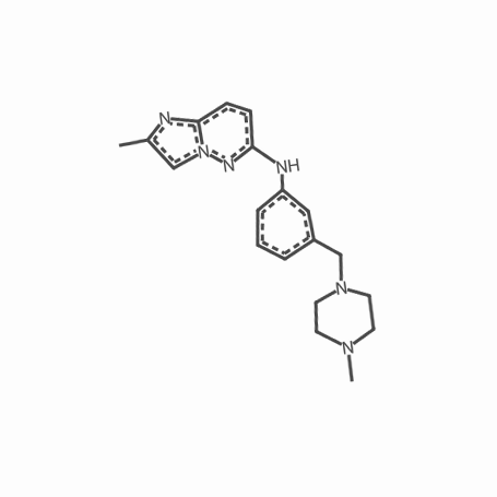 Cc1cn2nc(Nc3cccc(CN4CCN(C)CC4)c3)ccc2n1